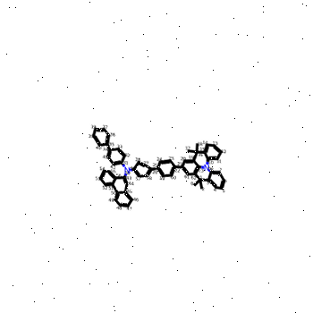 CC1(C)c2ccccc2N2c3ccccc3C(C)(C)c3cc(-c4ccc(-c5ccc(N(c6ccc(-c7ccccc7)cc6)c6cc7ccccc7c7ccccc67)cc5)cc4)cc1c32